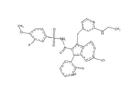 CCNc1cc(Cn2c(C(=O)NS(=O)(=O)c3ccc(OC)c(F)c3)c(-c3ccc[nH]c3=O)c3cc(Cl)ccc32)ccn1